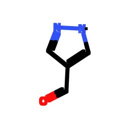 O=CC1=C[N]N=C1